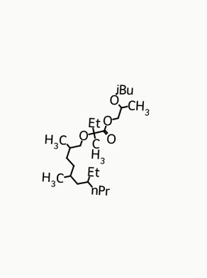 CCCC(CC)CC(C)CCC(C)COC(C)(CC)C(=O)OCC(C)OC(C)CC